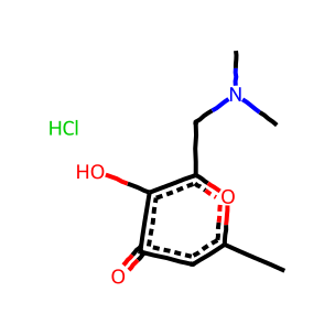 Cc1cc(=O)c(O)c(CN(C)C)o1.Cl